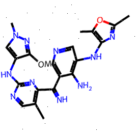 COc1nn(C)cc1Nc1ncc(C)c(C(=N)c2cncc(Nc3nc(C)oc3C)c2N)n1